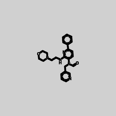 O=CN(Cc1cccnc1)c1ccc(-c2ccccc2)nc1NCCN1CCOCC1